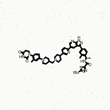 Cc1cc(-c2n[nH]c3ncc(-c4ccc(C5CCN(CC6CCN(c7ccc(N8CCC(=O)NC8=O)c(C)c7)CC6)CC5)cn4)cc23)ccc1[C@@H](C)NC(=O)c1noc(C(C)(C)C)n1